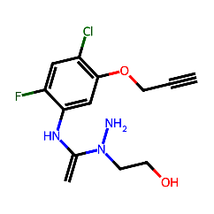 C#CCOc1cc(NC(=C)N(N)CCO)c(F)cc1Cl